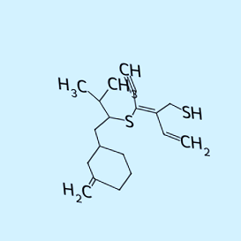 C#C/C(SC(CC1CCCC(=C)C1)C(C)C)=C(/C=C)CS